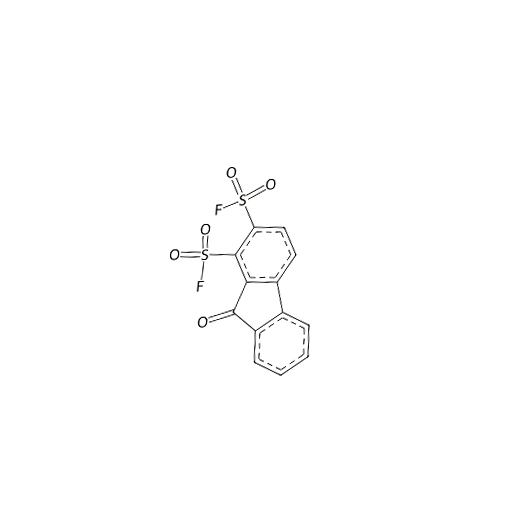 O=C1c2ccccc2-c2ccc(S(=O)(=O)F)c(S(=O)(=O)F)c21